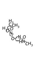 CCNC(=O)c1ccc(OC2CN(C(=O)OC(C)(C)C)C2)cn1